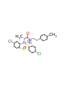 Cc1ccc(CCNC(=O)[C@@H](C)N(c2cc(Cl)ccc2F)S(=O)(=O)c2ccc(Cl)cc2)cc1